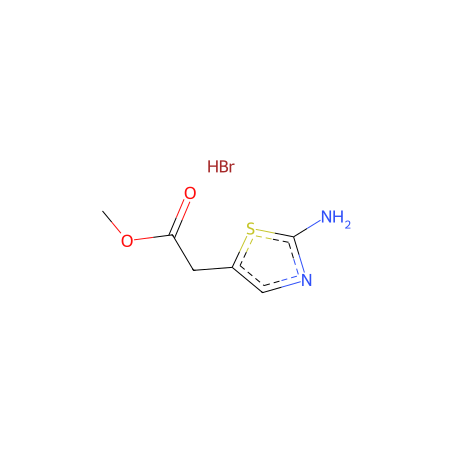 Br.COC(=O)Cc1cnc(N)s1